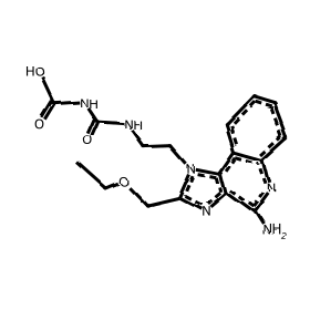 CCOCc1nc2c(N)nc3ccccc3c2n1CCNC(=O)NC(=O)O